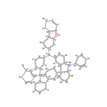 CC1C=Cc2oc3cc(N(c4ccc5c(c4)C(c4ccccc4)(c4ccccc4)C4=C5C(C)CC=C4)c4ccc5c(c4)c4ccccc4n5-c4c#cccc4)ccc3c2C1